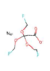 O=C([O-])C(OCF)(OCF)OCF.[Na+]